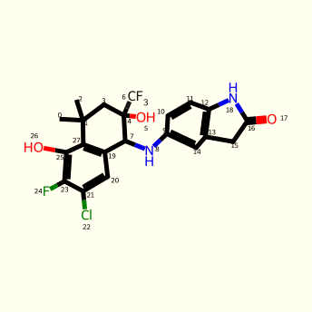 CC1(C)CC(O)(C(F)(F)F)C(Nc2ccc3c(c2)CC(=O)N3)c2cc(Cl)c(F)c(O)c21